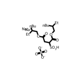 CCCCC(CC)COC(=O)CC(C(=O)OCC(CC)CCCC)S(=O)(=O)O.O=S(=O)([O-])[O-].[Na+].[Na+]